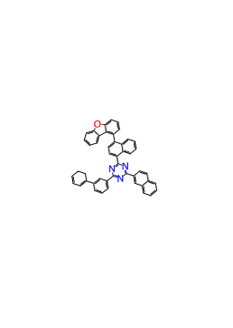 C1=CCCC(c2cccc(-c3nc(-c4ccc5ccccc5c4)nc(-c4ccc(-c5cccc6oc7ccccc7c56)c5ccccc45)n3)c2)=C1